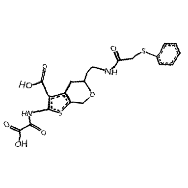 O=C(CSc1ccccc1)NCC1Cc2c(sc(NC(=O)C(=O)O)c2C(=O)O)CO1